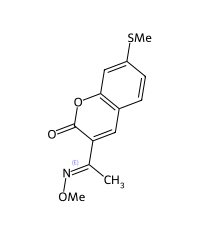 CO/N=C(\C)c1cc2ccc(SC)cc2oc1=O